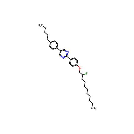 CCCCCCCCCC(F)COc1ccc(-c2ncc(-c3ccc(CCCCC)cc3)cn2)cc1